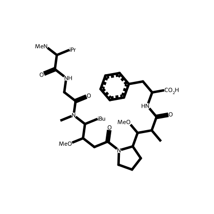 CCC(C)C(C(CC(=O)N1CCCC1C(OC)C(C)C(=O)NC(Cc1ccccc1)C(=O)O)OC)N(C)C(=O)CNC(=O)C(NC)C(C)C